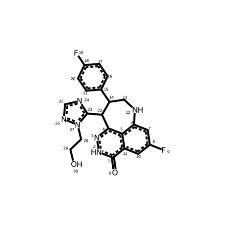 O=c1[nH]nc2c3c(cc(F)cc13)NCC(c1ccc(F)cc1)C2c1ncnn1CCO